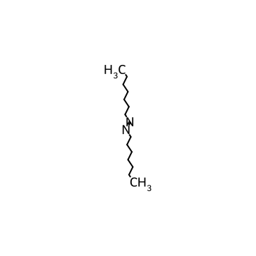 CCCCCCCN=NCCCCCCC